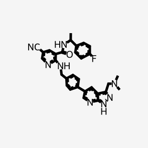 CC(NC(=O)c1cc(C#N)cnc1NCc1ccc(-c2cnc3[nH]nc(CN(C)C)c3c2)cc1)c1ccc(F)cc1